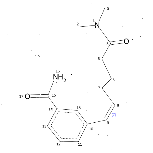 CN(C)C(=O)CCC/C=C\c1cccc(C(N)=O)c1